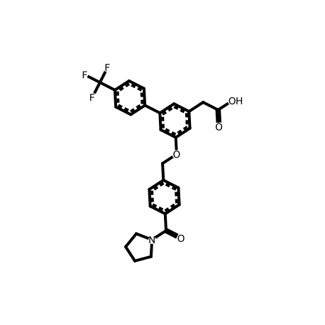 O=C(O)Cc1cc(OCc2ccc(C(=O)N3CCCC3)cc2)cc(-c2ccc(C(F)(F)F)cc2)c1